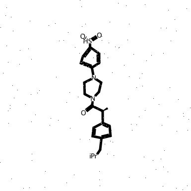 CC(C)Cc1ccc([C@H](C)C(=O)N2CCN(c3ccc([SH](=O)=O)cc3)CC2)cc1